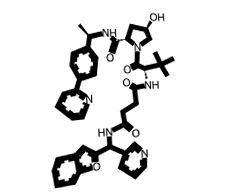 C[C@@H](NC(=O)[C@@H]1C[C@@H](O)CN1C(=O)[C@@H](NC(=O)CCC(=O)NC(c1cccnc1)c1cc2ccccc2o1)C(C)(C)C)c1ccc(-c2ccccn2)cc1